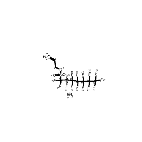 C=CCOS(=O)(=O)C(F)(F)C(F)(F)C(F)(F)C(F)(F)C(F)(F)C(F)(F)C(F)(F)F.N